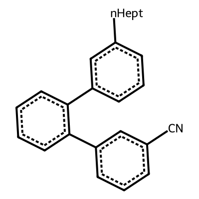 CCCCCCCc1cccc(-c2ccccc2-c2cccc(C#N)c2)c1